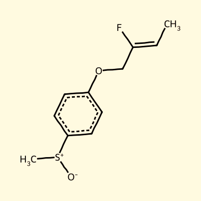 CC=C(F)COc1ccc([S+](C)[O-])cc1